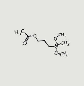 CO[Si](C)(CCCOC(C)=O)OC